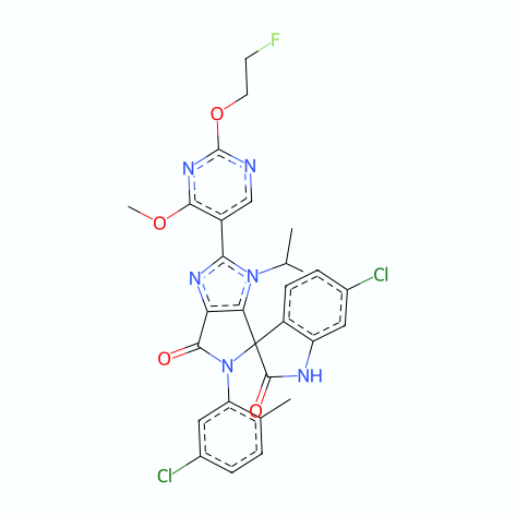 COc1nc(OCCF)ncc1-c1nc2c(n1C(C)C)C1(C(=O)Nc3cc(Cl)ccc31)N(c1cc(Cl)ccc1C)C2=O